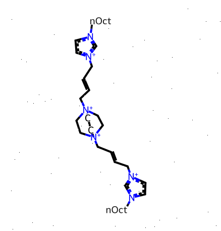 CCCCCCCCn1cc[n+](C/C=C/C[N+]23CC[N+](C/C=C/C[n+]4ccn(CCCCCCCC)c4)(CC2)CC3)c1